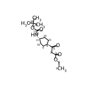 CCOC(=O)CC(=O)[C@H]1CC[C@H](NC(=O)OC(C)(C)C)CC1